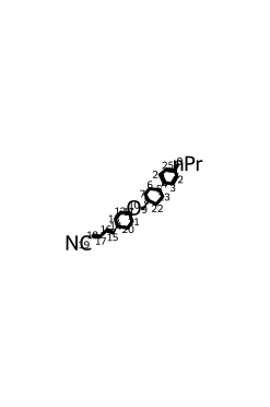 CCCc1ccc([C@H]2CC[C@H](CO[C@H]3CC[C@H](C=CC=CC#N)CC3)CC2)cc1